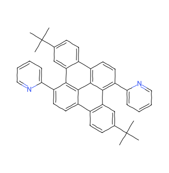 CC(C)(C)c1ccc2c(c1)c1c(-c3ccccn3)ccc3c4ccc(C(C)(C)C)cc4c4c(-c5ccccn5)ccc2c4c31